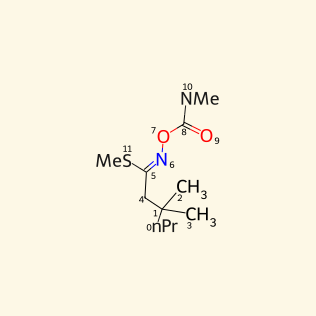 CCCC(C)(C)CC(=NOC(=O)NC)SC